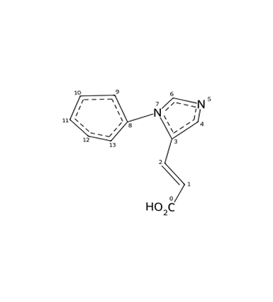 O=C(O)/C=C/c1cncn1-c1ccccc1